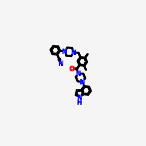 Cc1cc(C)c(C(=O)N2CCN(c3cccc4[nH]ccc34)CC2)cc1CN1CCN(c2ccccc2C#N)CC1